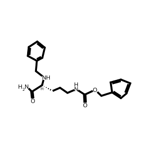 NC(=O)[C@@H](CCCNC(=O)OCc1ccccc1)NCc1ccccc1